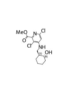 COC(=O)c1nc(Cl)cc(NC[C@@H]2CCCC[C@H]2O)c1Cl